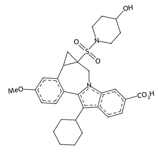 COc1ccc2c(c1)C1CC1(S(=O)(=O)N1CCC(O)CC1)Cn1c-2c(C2CCCCC2)c2ccc(C(=O)O)cc21